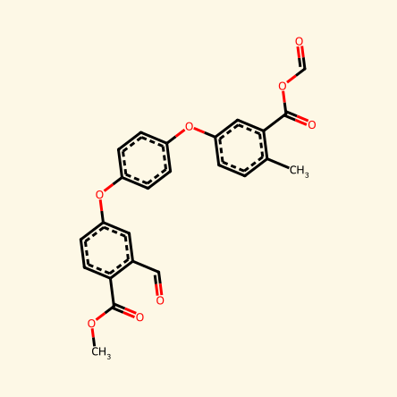 COC(=O)c1ccc(Oc2ccc(Oc3ccc(C)c(C(=O)OC=O)c3)cc2)cc1C=O